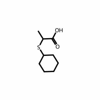 CC(SC1CCCCC1)C(=O)O